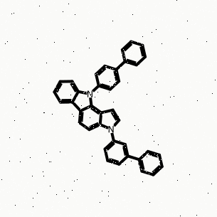 c1ccc(-c2ccc(-n3c4ccccc4c4ccc5c(ccn5-c5cccc(-c6ccccc6)c5)c43)cc2)cc1